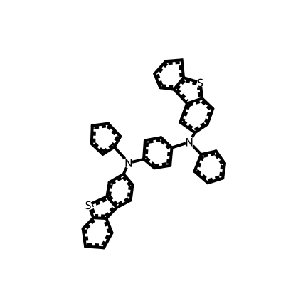 c1ccc(N(c2ccc(N(c3ccccc3)c3ccc4sc5ccccc5c4c3)cc2)c2ccc3c(c2)sc2ccccc23)cc1